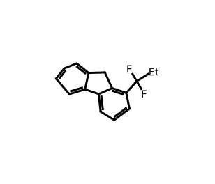 CCC(F)(F)c1cccc2c1Cc1ccccc1-2